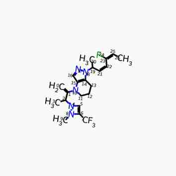 C=C(C(C)n1cc(C(F)(F)F)n1C)N1CCCc2c1cnn2C(C)/C=C\C(F)=C/C